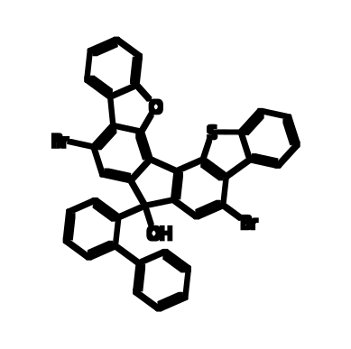 OC1(c2ccccc2-c2ccccc2)c2cc(Br)c3c(oc4ccccc43)c2-c2c1cc(Br)c1c2sc2ccccc21